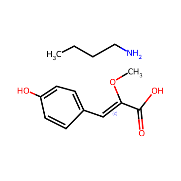 CCCCN.CO/C(=C\c1ccc(O)cc1)C(=O)O